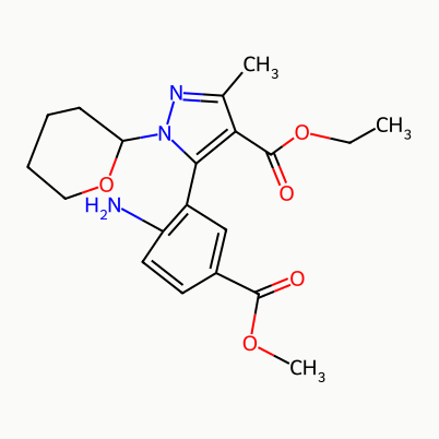 CCOC(=O)c1c(C)nn(C2CCCCO2)c1-c1cc(C(=O)OC)ccc1N